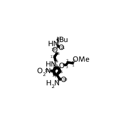 COCCCOc1cc(C(N)=O)cc([N+](=O)[O-])c1NCCCOC(=O)NC(C)(C)C